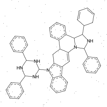 C1=CCC(C2NC(c3ccccc3)N3C4=Cc5c(n(C6NC(c7ccccc7)NC(c7ccccc7)N6)c6ccccc56)CC4c4ccccc4C23)C=C1